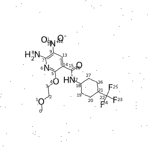 COCCOc1nc(N)c([N+](=O)[O-])cc1C(=O)NC1CCC(C(F)(F)F)CC1